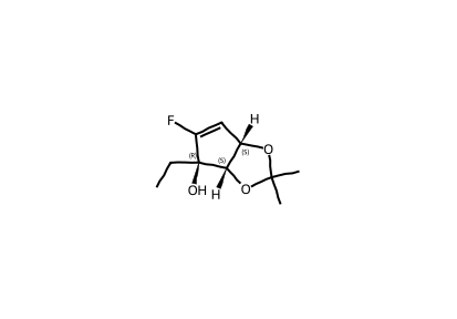 CC[C@]1(O)C(F)=C[C@@H]2OC(C)(C)O[C@@H]21